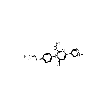 CCOc1nc(C2C=NNC2)cc(=O)n1-c1ccc(OCC(F)(F)F)cc1